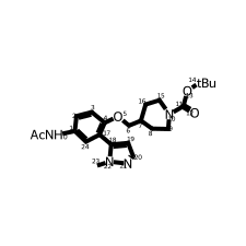 CC(=O)Nc1ccc(OCC2CCN(C(=O)OC(C)(C)C)CC2)c(-c2ccnn2C)c1